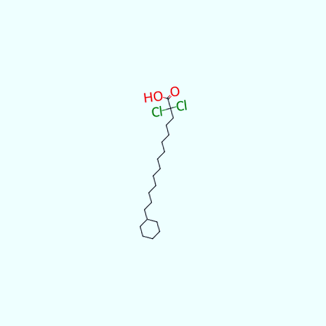 O=C(O)C(Cl)(Cl)CCCCCCCCCCCCC1CCCCC1